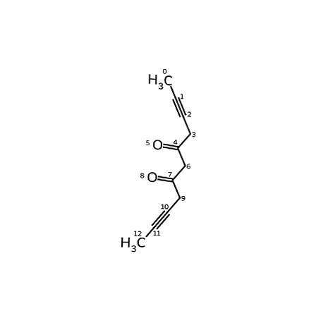 CC#CCC(=O)CC(=O)CC#CC